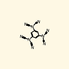 N#CN(C#N)c1cc(N(C#N)C#N)cc(N(C#N)C#N)c1